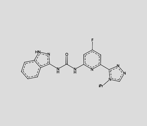 CC(C)n1cnnc1-c1cc(F)cc(NC(=O)Nc2n[nH]c3ccccc23)n1